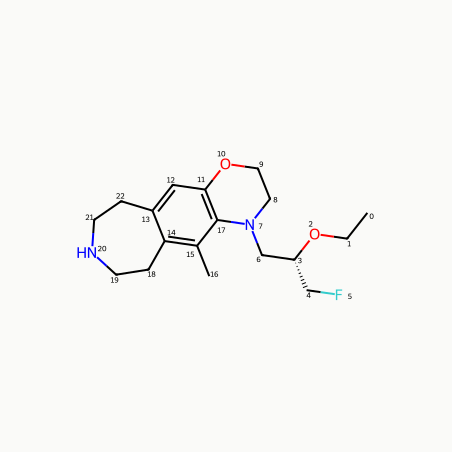 CCO[C@H](CF)CN1CCOc2cc3c(c(C)c21)CCNCC3